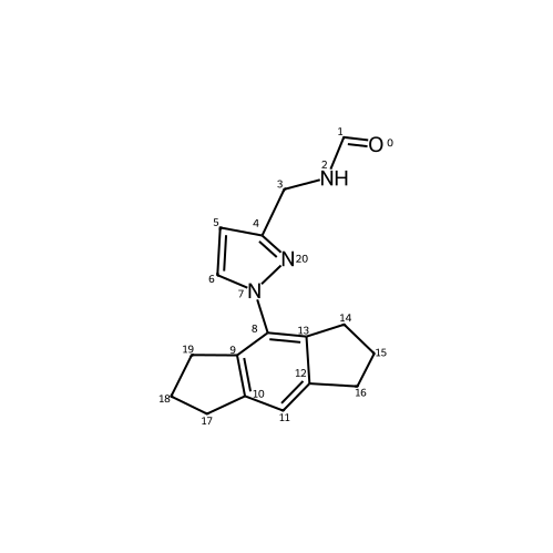 O=CNCc1ccn(-c2c3c(cc4c2CCC4)CCC3)n1